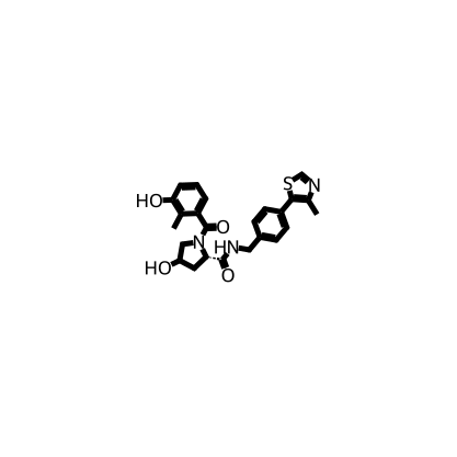 Cc1ncsc1-c1ccc(CNC(=O)[C@@H]2CC(O)CN2C(=O)c2cccc(O)c2C)cc1